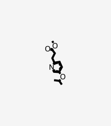 COC(=O)CCc1ccc(OC(C)C)cn1